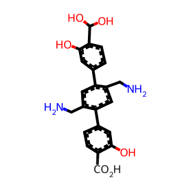 NCc1cc(-c2ccc(C(O)O)c(O)c2)c(CN)cc1-c1ccc(C(=O)O)c(O)c1